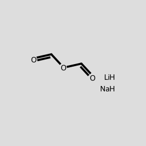 O=COC=O.[LiH].[NaH]